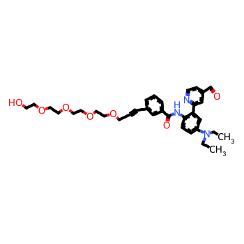 CCN(CC)c1ccc(NC(=O)c2cccc(C#CCOCCOCCOCCOCCO)c2)c(-c2cc(C=O)ccn2)c1